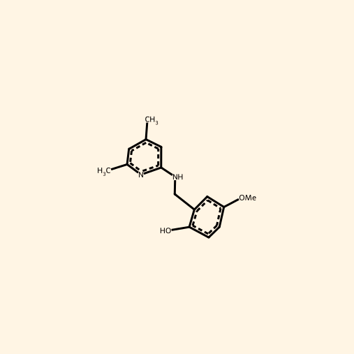 COc1ccc(O)c(CNc2cc(C)cc(C)n2)c1